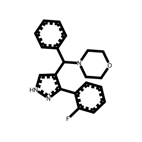 Fc1ccccc1-c1n[nH]cc1C(c1ccccc1)N1CCOCC1